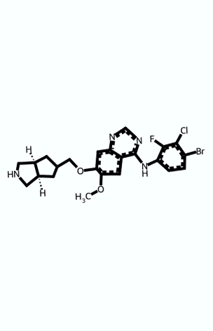 COc1cc2c(Nc3ccc(Br)c(Cl)c3F)ncnc2cc1OCC1C[C@H]2CNC[C@H]2C1